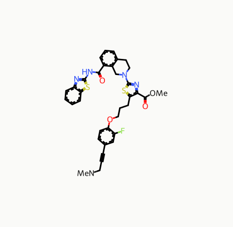 CNCC#Cc1ccc(OCCCc2sc(N3CCc4cccc(C(=O)Nc5nc6ccccc6s5)c4C3)nc2C(=O)OC)c(F)c1